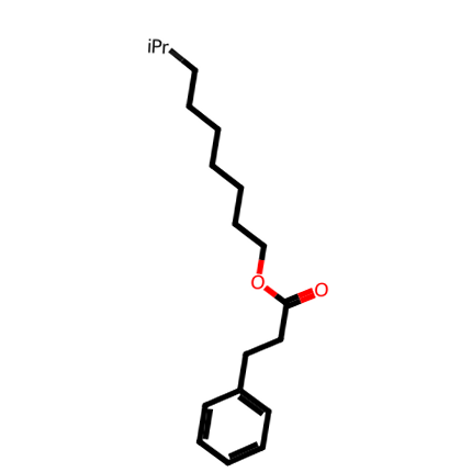 CC(C)CCCCCCCOC(=O)CCc1ccccc1